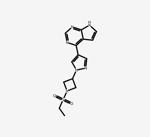 CCS(=O)(=O)N1C[C](n2cc(-c3ncnc4[nH]ccc34)cn2)C1